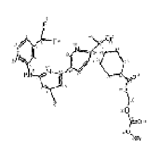 Cc1cc(Nc2cc(C(F)F)ccn2)nc(-c2ccc(C(C)(O)[C@H]3CC[C@H](C(=O)OCOC(=O)OC(C)C)CC3)nc2)c1